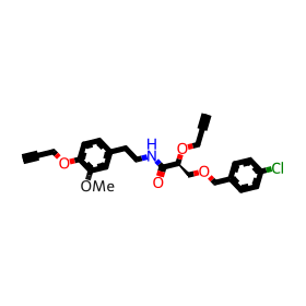 C#CCOc1ccc(CCNC(=O)[C@H](COCc2ccc(Cl)cc2)OCC#C)cc1OC